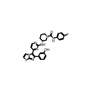 O=C(Nc1ccc(F)cc1)N1CCC[C@@H](Nc2nccc(-c3c(-c4cccc(O)c4)nc4sccn34)n2)C1